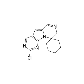 Clc1ncc2cc3n(c2n1)C1(CCCCC1)CN=C3